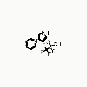 O=S(=O)(O)C(F)(F)F.c1cc[nH]c1.c1ccncc1